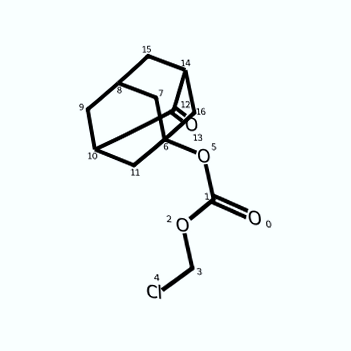 O=C(OCCl)OC12CC3CC(C1)C(=O)C(C3)C2